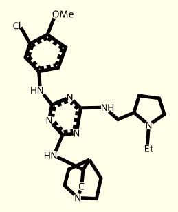 CCN1CCCC1CNc1nc(Nc2ccc(OC)c(Cl)c2)nc(NC2CN3CCC2CC3)n1